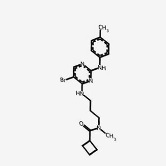 Cc1ccc(Nc2ncc(Br)c(NCCCN(C)C(=O)C3CCC3)n2)cc1